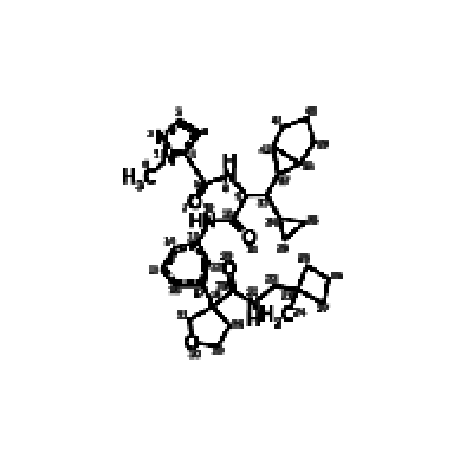 Cn1nccc1C(=O)N[C@H](C(=O)Nc1cccc(C2(C(=O)NCC3(C)CCC3)CCOC2)c1)C(C1CC1)C1C2CCCC21